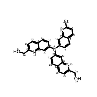 CCc1ccc2ccc(N(c3ccc4ccc(CO)nc4c3)c3ccc4ccc(CO)nc4c3)cc2n1